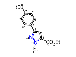 CCOC(=O)c1cc(-c2ccc(C(C)(C)C)cc2)nn1CC